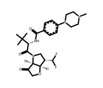 CN1CCN(c2ccc(C(=O)N[C@H](C(=O)N3C[C@H](C(F)F)[C@H]4OCC(=O)[C@H]43)C(C)(C)C)cc2)CC1